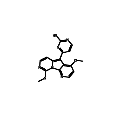 COc1ccnc2c1c(-c1ccnc(S)n1)c1ccnc(SC)n12